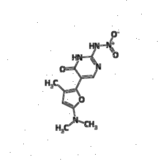 Cc1cc(N(C)C)oc1-c1cnc(N[N+](=O)[O-])[nH]c1=O